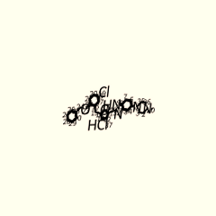 CN1CCN(c2ccc3[nH]c(-c4ccc(Cc5cc(Cl)ccc5OCc5ccccc5)o4)nc3c2)CC1.Cl